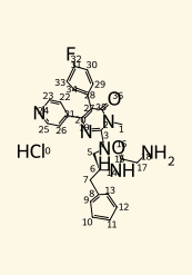 Cl.Cn1c(NC[C@H](Cc2ccccc2)NC(=O)CN)nc(-c2ccncc2)c(-c2ccc(F)cc2)c1=O